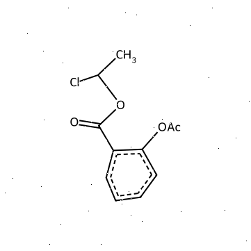 CC(=O)Oc1ccccc1C(=O)OC(C)Cl